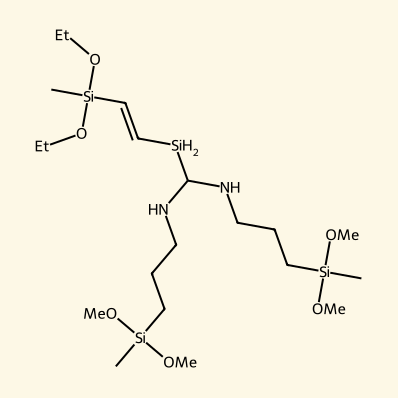 CCO[Si](C)(C=C[SiH2]C(NCCC[Si](C)(OC)OC)NCCC[Si](C)(OC)OC)OCC